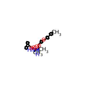 Cc1ccc(-c2ccc(COc3ccc(COC(=O)C(C)NC(=O)C(C)NC(=O)OCC4c5ccccc5-c5ccccc54)cc3)cc2)cc1